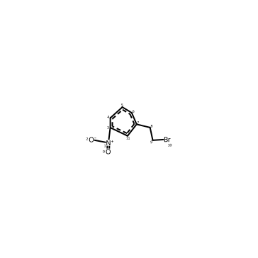 O=[N+]([O-])c1[c]ccc(CCBr)c1